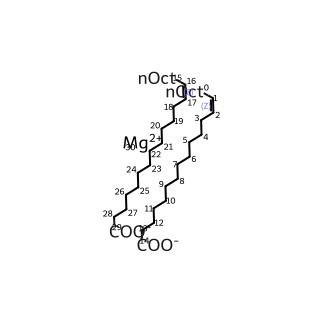 CCCCCCCC/C=C\CCCCCCCCCCCC(=O)[O-].CCCCCCCC/C=C\CCCCCCCCCCCC(=O)[O-].[Mg+2]